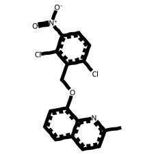 Cc1ccc2cccc(OCc3c(Cl)ccc([N+](=O)[O-])c3Cl)c2n1